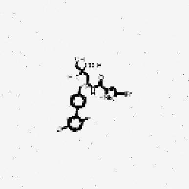 CC(C)c1cc(C(=O)N[C@H](Cc2ccc(-c3cc(Cl)ccc3F)cc2)CC(C)(CO)C(=O)O)[nH]n1